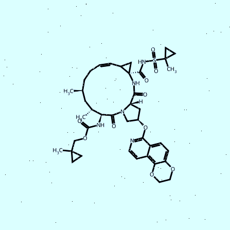 C[C@H]1CC/C=C\C2C[C@@]2(C(=O)NS(=O)(=O)C2(C)CC2)NC(=O)[C@@H]2C[C@@H](Oc3nccc4c5c(ccc34)OCCO5)CN2C(=O)[C@@H](NC(=O)OCC2(C)CC2)[C@H](C)C1